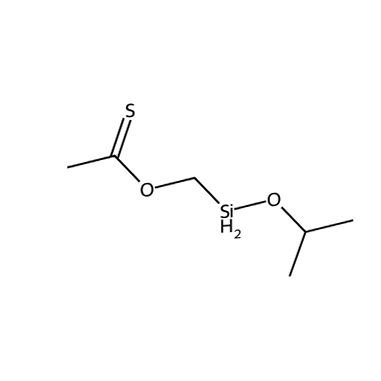 CC(=S)OC[SiH2]OC(C)C